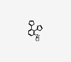 [Cl][Zr][c]1cccc(C2=CC=CC2)c1C1=CC=CC1